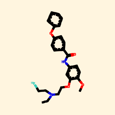 CCN(CC[18F])CCOc1cc(NC(=O)c2ccc(Oc3ccccc3)cc2)ccc1OC